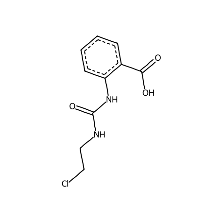 O=C(NCCCl)Nc1ccccc1C(=O)O